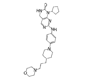 O=C1NCc2cnc(Nc3ccc(N4CCC(CCCN5CCOCC5)CC4)cc3)nc2N1C1CCCC1